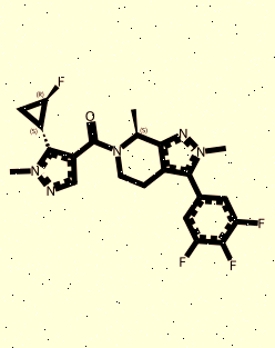 C[C@H]1c2nn(C)c(-c3cc(F)c(F)c(F)c3)c2CCN1C(=O)c1cnn(C)c1[C@@H]1C[C@H]1F